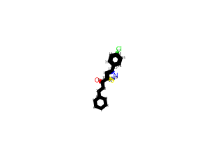 O=C(CCC1CCCCC1)c1cc(-c2ccc(Cl)cc2)ns1